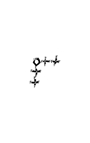 C1C[CH2][U+4][CH2]1.F[B-](F)(F)F.F[B-](F)(F)F.F[B-](F)(F)F.F[B-](F)(F)F